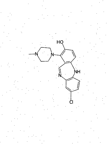 CN1CCN(c2c(O)ccc3c2C=Nc2cc(Cl)ccc2N3)CC1